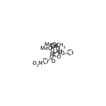 CO[C@@]1(C)O[C@@H]2[C@@H](OCc3ccccc3)OC[C@H](OC(=O)c3ccc([N+](=O)[O-])cc3)[C@H]2O[C@]1(C)OC